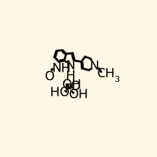 CCN1CC=C(c2cc3cccc(NC=O)c3[nH]2)CC1.O=P(O)(O)O